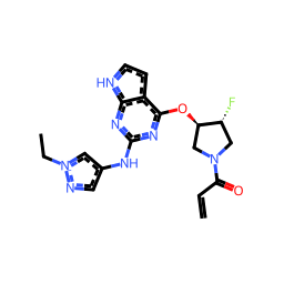 C=CC(=O)N1C[C@@H](F)[C@H](Oc2nc(Nc3cnn(CC)c3)nc3[nH]ccc23)C1